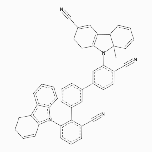 CC12C=CC=CC1C1=C(CCC(C#N)=C1)N2c1cc(-c2cccc(-c3c(C#N)cccc3-n3c4c(c5ccccc53)CCC=C4)c2)ccc1C#N